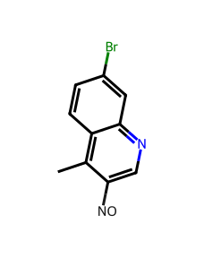 Cc1c(N=O)cnc2cc(Br)ccc12